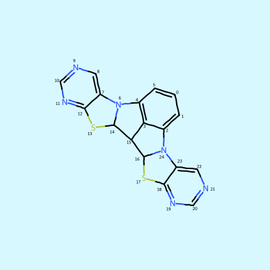 c1cc2c3c(c1)N1c4cncnc4SC1C3C1Sc3ncncc3N21